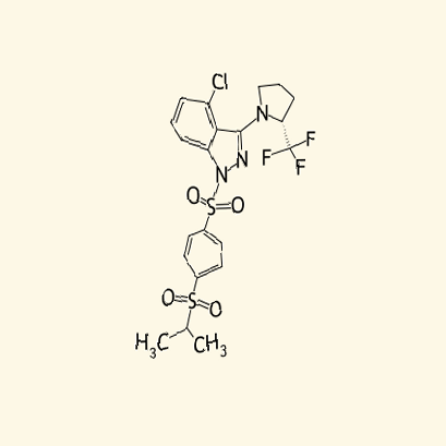 CC(C)S(=O)(=O)c1ccc(S(=O)(=O)n2nc(N3CCC[C@@H]3C(F)(F)F)c3c(Cl)cccc32)cc1